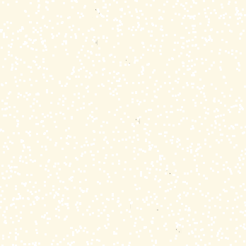 NCCNCCNCCNCCN.O=P(O)(O)CCCCCCCP(=O)(O)O